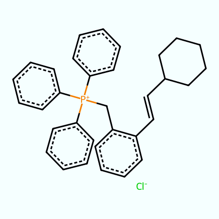 C(=CC1CCCCC1)c1ccccc1C[P+](c1ccccc1)(c1ccccc1)c1ccccc1.[Cl-]